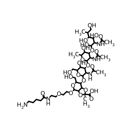 CC(=O)NC(C(O)OC1C(O)C(C)OC(OC2C(O)C(CO)OC(OC3C(CO)OC(OCCOCCNC(=O)CCCCN)C4O[C@@](C)(C(=O)O)OC34)C2NC(C)=O)C1NC(C)=O)C(O)C(O)C(C)CO